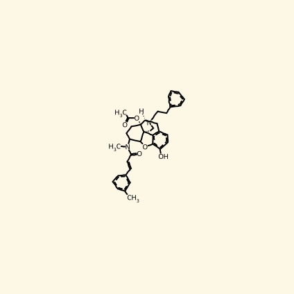 CC(=O)O[C@@]12CCC(N(C)C(=O)/C=C/c3cccc(C)c3)C3Oc4c(O)ccc5c4[C@@]31CCN(CCc1ccccc1)[C@@H]2C5